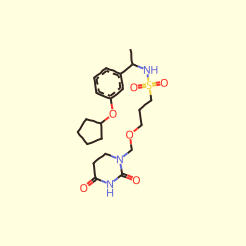 CC(NS(=O)(=O)CCCOCN1CCC(=O)NC1=O)c1cccc(OC2CCCC2)c1